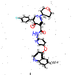 COc1cc2c(Oc3ccc(NC(=O)c4cn(C5CCOCC5)cc(-c5ccc(F)cc5)c4=O)nc3)ccnc2cc1C